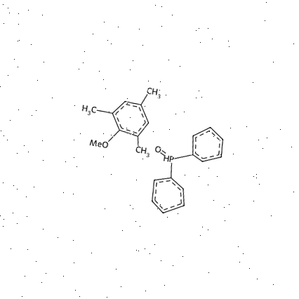 COc1c(C)cc(C)cc1C.O=[PH](c1ccccc1)c1ccccc1